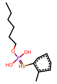 CCCCCCOP(O)(O)=[SH]c1ccccc1C